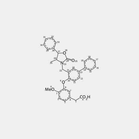 COc1ccc(CC(=O)O)cc1Oc1ccc(-c2ccccc2)cc1CN1C(=O)OC(c2ccccc2)C1C